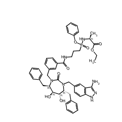 CCOC(=O)[C@H](C)NP(=O)(CCCNC(=O)c1cccc(CN2C(=O)N(Cc3ccc4[nH]nc(N)c4c3)[C@H](Cc3ccccc3)[C@H](O)[C@@H](O)[C@H]2Cc2ccccc2)c1)Oc1ccccc1